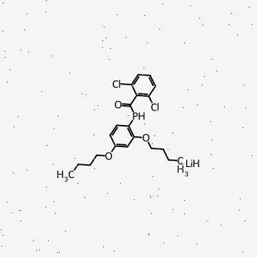 CCCCOc1ccc(PC(=O)c2c(Cl)cccc2Cl)c(OCCCC)c1.[LiH]